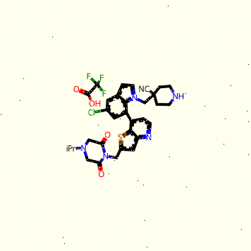 CC(C)N1CC(=O)N(Cc2cc3nccc(-c4cc(Cl)cc5ccn(CC6(C#N)CCNCC6)c45)c3s2)C(=O)C1.O=C(O)C(F)(F)F